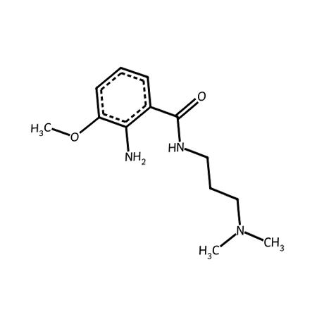 COc1cccc(C(=O)NCCCN(C)C)c1N